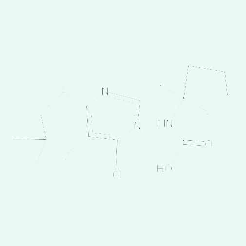 CC1(C)CCc2nc(CC3(NC(=O)O)CCCC3)nc(Cl)c2C1